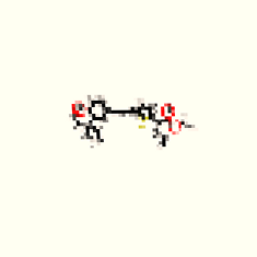 CCCC(C(=O)OCC)c1ccc(C#Cc2ccc3c(c2)C(CC)(CC)CCO3)s1